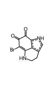 O=C1C(=O)c2[nH]cc3c2C(=C1Br)NCC3